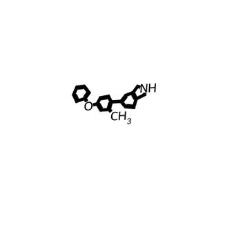 Cc1cc(Oc2ccccc2)ccc1-c1ccc2c(c1)CNC2